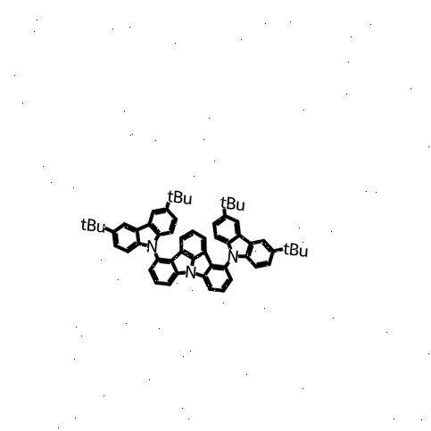 CC(C)(C)c1ccc2c(c1)c1cc(C(C)(C)C)ccc1n2-c1cccc2c1c1cccc3c4c(-n5c6ccc(C(C)(C)C)cc6c6cc(C(C)(C)C)ccc65)cccc4n2c13